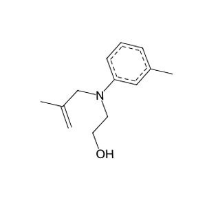 C=C(C)CN(CCO)c1cccc(C)c1